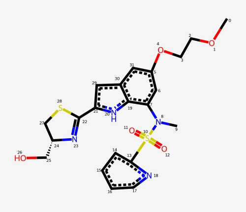 COCCOc1cc(N(C)S(=O)(=O)c2ccccn2)c2[nH]c(C3=N[C@H](CO)CS3)cc2c1